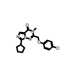 Cn1c(COc2ccc(Cl)cc2)nn2c(C3CCCC3)ncc2c1=O